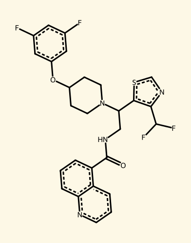 O=C(NCC(c1scnc1C(F)F)N1CCC(Oc2cc(F)cc(F)c2)CC1)c1cccc2ncccc12